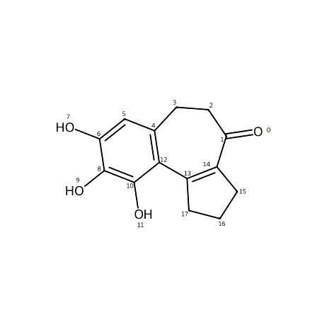 O=C1CCc2cc(O)c(O)c(O)c2C2=C1CCC2